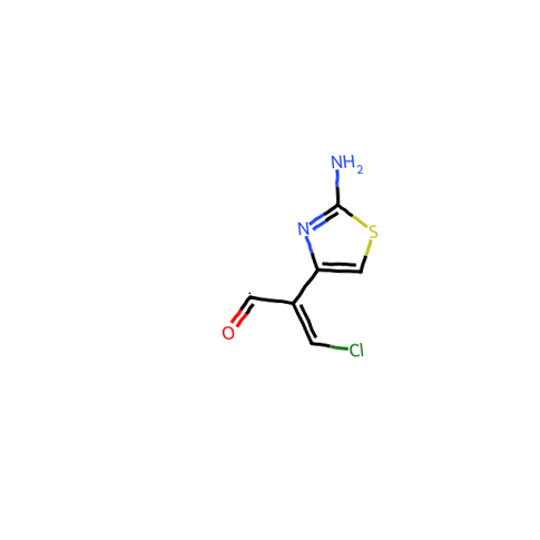 Nc1nc(/C([C]=O)=C\Cl)cs1